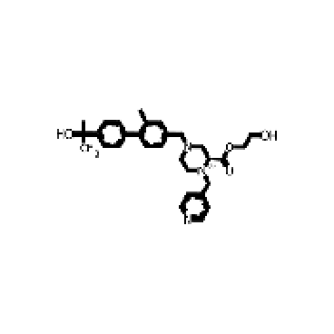 Cc1cc(CN2CCN(Cc3ccncc3)[C@H](C(=O)OCCO)C2)ccc1-c1ccc(C(C)(O)C(F)(F)F)cc1